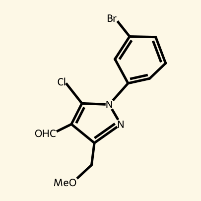 COCc1nn(-c2cccc(Br)c2)c(Cl)c1C=O